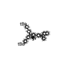 CC(C)(C)c1ccc(-c2ccc(N(c3ccc(-c4ccc(C(C)(C)C)cc4)cc3)c3ccc(-c4ccc(-n5c6ccccc6c6c7ccccc7ccc65)cc4)c4nsnc34)cc2)cc1